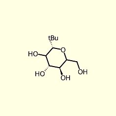 CC(C)(C)[C@@H]1OC(CO)[C@@H](O)[C@H](O)C1O